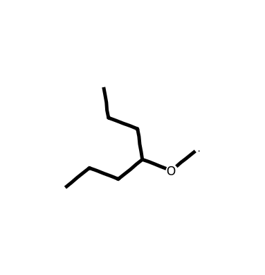 [CH2]OC(CCC)CCC